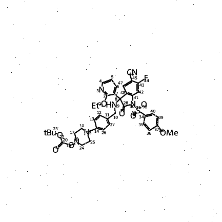 CCOc1ncccc1C1(NCc2ccc(N3CCN(OC(=O)OC(C)(C)C)CC3)cc2)C(=O)N(S(=O)(=O)c2ccc(OC)cc2)c2cc(F)c(C#N)cc21